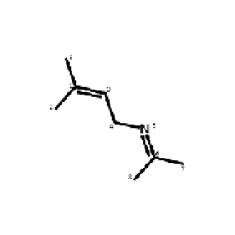 CC(C)=CCN=C(C)C